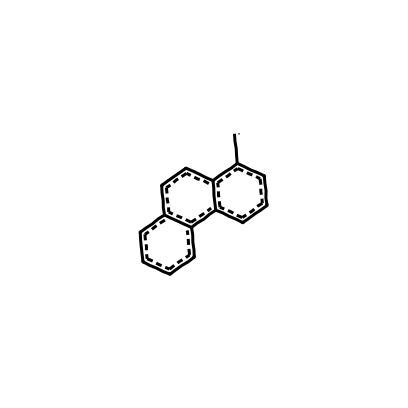 [CH2]c1cccc2c1ccc1ccccc12